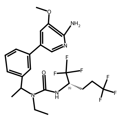 CCN(C(=O)N[C@@H](CCC(F)(F)F)C(F)(F)F)C(C)c1cccc(-c2cnc(N)c(OC)c2)c1